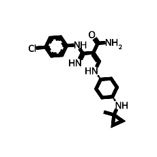 CC1(N[C@H]2CC[C@@H](N/C=C(\C(=N)Nc3ccc(Cl)cc3)C(N)=O)CC2)CC1